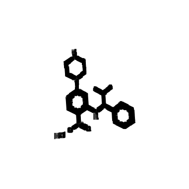 CC(C)C(Nc1cc(N2CCNCC2)ccc1[N+](=O)[O-])c1ccccc1.Cl